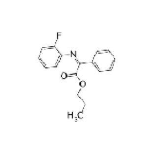 CCCOC(=O)C(=Nc1ccccc1F)c1ccccc1